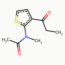 CCC(=O)c1ccsc1N(C)C(C)=O